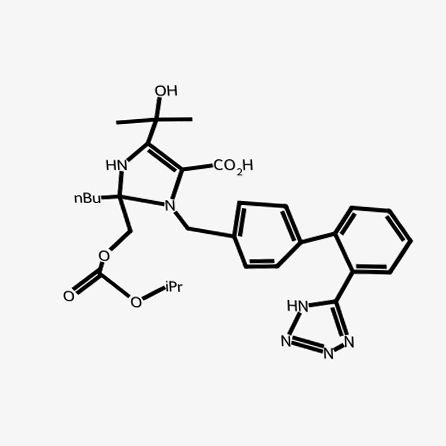 CCCCC1(COC(=O)OC(C)C)NC(C(C)(C)O)=C(C(=O)O)N1Cc1ccc(-c2ccccc2-c2nnn[nH]2)cc1